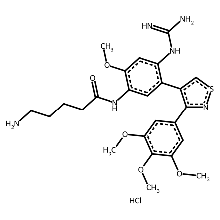 COc1cc(NC(=N)N)c(-c2csnc2-c2cc(OC)c(OC)c(OC)c2)cc1NC(=O)CCCCN.Cl